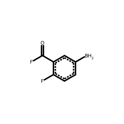 Bc1ccc(F)c(C(=O)F)c1